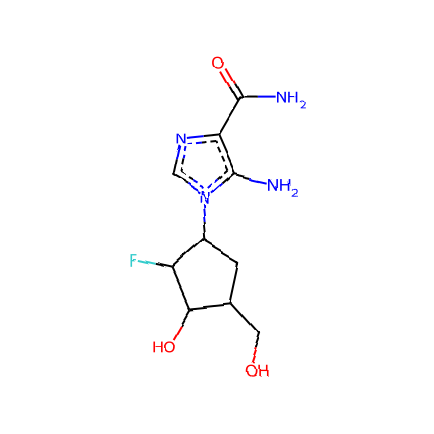 NC(=O)c1ncn(C2CC(CO)C(O)C2F)c1N